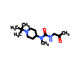 CC(=O)CNC(=O)N(C)C1CCN(C(C)(C)C)CC1